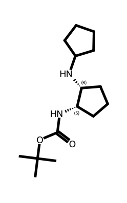 CC(C)(C)OC(=O)N[C@H]1CCC[C@H]1NC1CCCC1